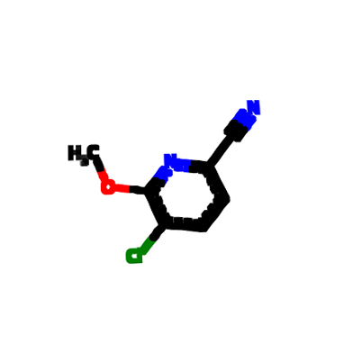 COc1nc(C#N)ccc1Cl